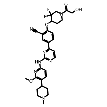 COc1nc(Nc2nccc(-c3ccc(OC4CCN(C(=O)CO)CC4(F)F)c(C#N)c3)n2)ccc1C1CCN(C)CC1